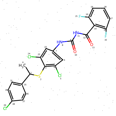 CC(Sc1c(Cl)cc(NC(=O)NC(=O)c2c(F)cccc2F)cc1Cl)c1ccc(Cl)cc1